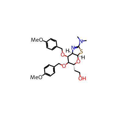 COc1ccc(COC2[C@@H](OCc3ccc(OC)cc3)[C@H]3N=C(N(C)C)S[C@H]3O[C@@H]2CCO)cc1